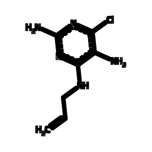 C=CCNc1nc(N)nc(Cl)c1N